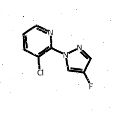 Fc1cnn(-c2ncc[c]c2Cl)c1